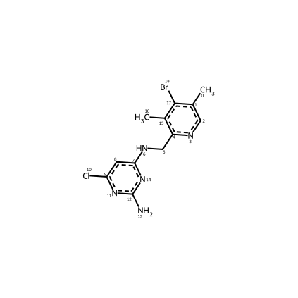 Cc1cnc(CNc2cc(Cl)nc(N)n2)c(C)c1Br